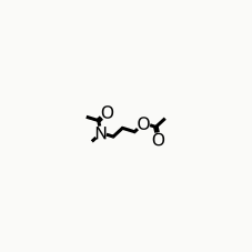 CC(=O)OCCCN(C)C(C)=O